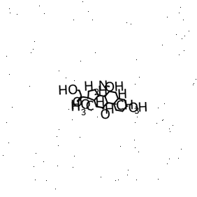 C[C@]12CC[C@@H](O)C[C@H]1CC[C@@H]1[C@@H]2C(=O)C[C@@]2(C)[C@H]1CC[C@]2(O)C(=O)CO.NO